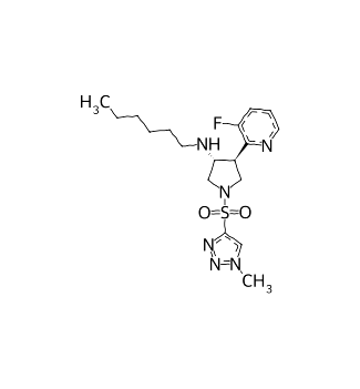 CCCCCCN[C@H]1CN(S(=O)(=O)c2cn(C)nn2)C[C@@H]1c1ncccc1F